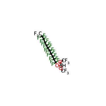 [2H][Si](OC(F)(F)F)(OC(F)(F)F)OC(F)(F)C(F)(F)C(F)(F)C(F)(F)C(F)(F)C(F)(F)C(F)(F)C(F)(F)C(F)(F)C(F)(F)C(F)(F)F